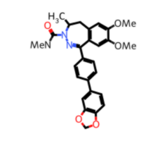 CNC(=O)N1N=C(c2ccc(-c3ccc4c(c3)OCO4)cc2)c2cc(OC)c(OC)cc2CC1C